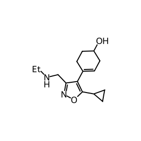 CCNCc1noc(C2CC2)c1C1=CCC(O)CC1